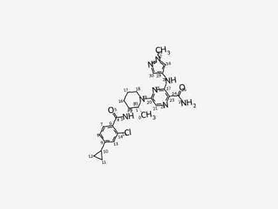 C[C@@H]1[C@H](NC(=O)c2ccc(C3CC3)cc2Cl)CCCN1c1cnc(C(N)=O)c(Nc2cnn(C)c2)n1